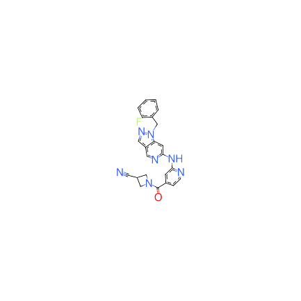 N#CC1CN(C(=O)c2ccnc(Nc3cc4c(cn3)cnn4Cc3ccccc3F)c2)C1